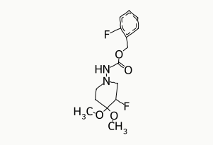 COC1(OC)CCN(NC(=O)OCc2ccccc2F)CC1F